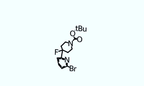 CC(C)(C)OC(=O)N1CCC(F)(c2cccc(Br)n2)CC1